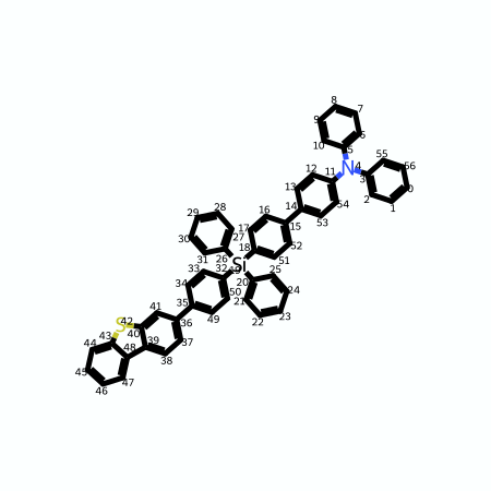 c1ccc(N(c2ccccc2)c2ccc(-c3ccc([Si](c4ccccc4)(c4ccccc4)c4ccc(-c5ccc6c(c5)sc5ccccc56)cc4)cc3)cc2)cc1